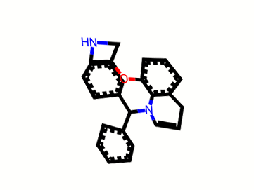 C1=CN(C(c2ccccc2)c2ccccc2)c2c(cccc2OC2CNC2)C1